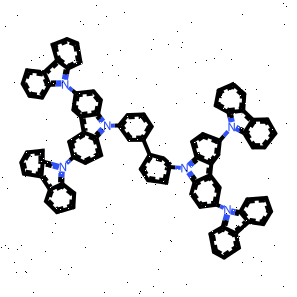 c1cc(-c2cccc(-n3c4ccc(-n5c6ccccc6c6ccccc65)cc4c4cc(-n5c6ccccc6c6ccccc65)ccc43)c2)cc(-n2c3ccc(-n4c5ccccc5c5ccccc54)cc3c3cc(-n4c5ccccc5c5ccccc54)ccc32)c1